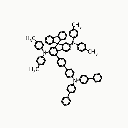 Cc1ccc(N(c2ccc(C)cc2)c2ccc3c(c2)C2(c4ccccc4-c4ccccc42)c2cc(N(c4ccc(C)cc4)c4ccc(C)cc4)cc(-c4ccc(-c5ccc(N(c6ccc(-c7ccccc7)cc6)c6ccc(-c7ccccc7)cc6)cc5)cc4)c2-3)cc1